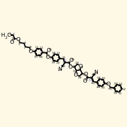 C=CC(=O)OCCCCOc1ccc(C(=O)Oc2ccc(/C=C(\C#N)C(=O)O[C@H]3COC4C3OC[C@H]4OC(=O)/C(C#N)=C/c3ccc(OCc4ccccc4)cc3)cc2)cc1